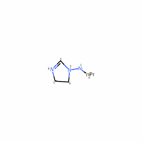 CCC[N]N1C=NCC1